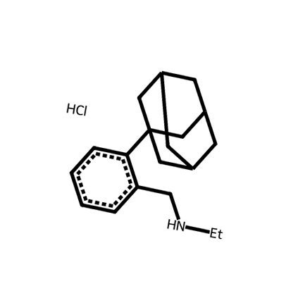 CCNCc1ccccc1C12CC3CC(CC(C3)C1)C2.Cl